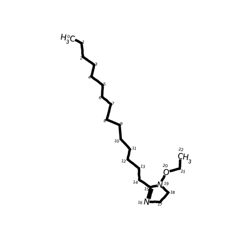 CCCCCCCCCCCCCCCC1=NCCN1OCC